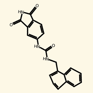 O=C(NCc1cccc2ccccc12)Nc1ccc2c(c1)C(=O)NC2=O